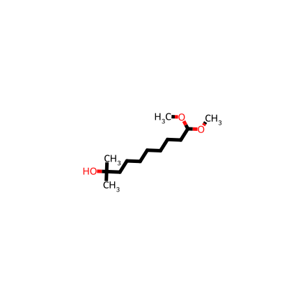 COC(CCCCCCCC(C)(C)O)OC